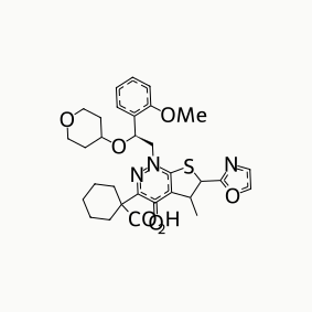 COc1ccccc1[C@@H](Cn1nc(C2(C(=O)O)CCCCC2)c(=O)c2c1SC(c1ncco1)C2C)OC1CCOCC1